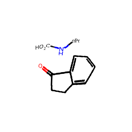 CCCNC(=O)O.O=C1CCc2ccccc21